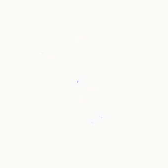 CCCc1c(OC(=O)NCc2cc(OC)cc(OC)c2)cnn1-c1ccccc1